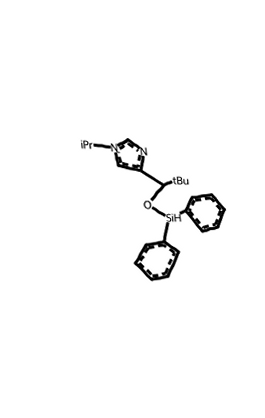 CC(C)n1cnc(C(O[SiH](c2ccccc2)c2ccccc2)C(C)(C)C)c1